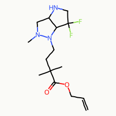 C=CCOC(=O)C(C)(C)CCN1C2C(CN1C)NCC2(F)F